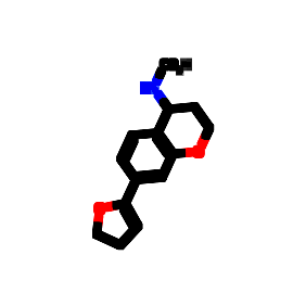 O=C(O)NC1CCOc2cc(C3=CCCO3)ccc21